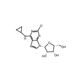 OC[C@H]1O[C@@H](n2cnc3c(NC4CC4)nc(Cl)nc32)[C@@H](O)[C@H]1O